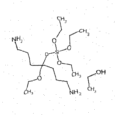 CCO.CCOC(CCCN)(CCCN)O[Si](OCC)(OCC)OCC